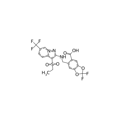 CCS(=O)(=O)c1c(NCc2cc3c(cc2C(=O)O)OC(F)(F)O3)nn2cc(C(F)(F)F)ccc12